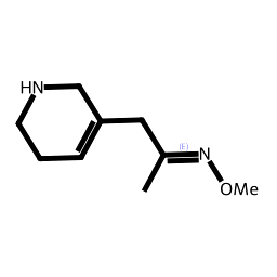 CO/N=C(\C)CC1=CCCNC1